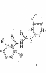 CCc1cncc(NC(=O)NC(=O)c2c(Br)cccc2Br)n1